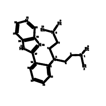 CCN(CC)CCN(CCN(CC)CC)c1ccccc1-c1nc2cnccc2[nH]1